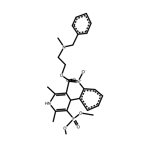 COP(=O)(OC)C1=C(C)NC(C)=C(C(=O)OCCN(C)Cc2ccccc2)C1c1ccccc1[N+](=O)[O-]